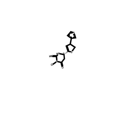 N=C1N[C@H](C2=CC(c3ccsc3)CS2)CC(=O)N1Cl